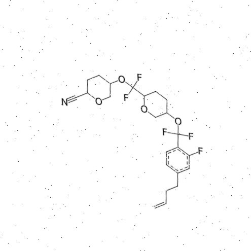 C=CCCc1ccc(C(F)(F)OC2CCC(C(F)(F)OC3CCC(C#N)OC3)OC2)c(F)c1